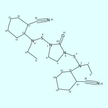 CCN(SN1CCN(SN(CC)C2CCCCC2C#N)C1=O)C1CCCCC1C#N